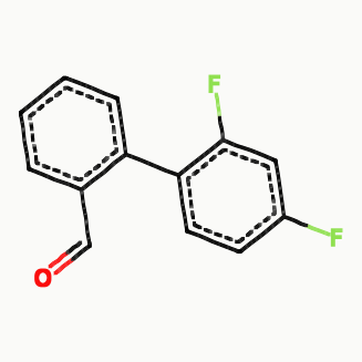 O=Cc1ccccc1-c1ccc(F)cc1F